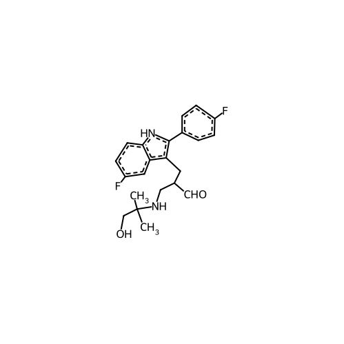 CC(C)(CO)NCC(C=O)Cc1c(-c2ccc(F)cc2)[nH]c2ccc(F)cc12